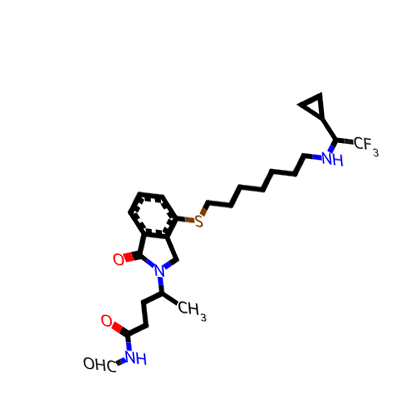 CC(CCC(=O)NC=O)N1Cc2c(SCCCCCCCNC(C3CC3)C(F)(F)F)cccc2C1=O